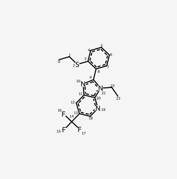 CCSc1ccccc1-c1nc2cc(C(F)(F)F)cnc2n1CC